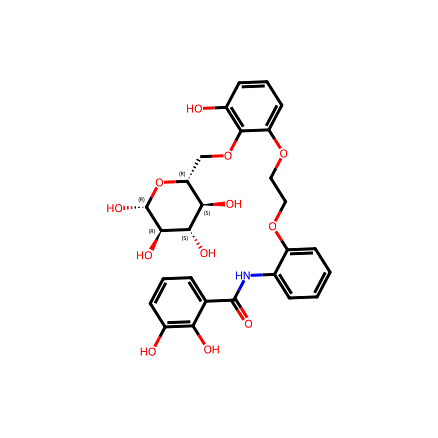 O=C(Nc1ccccc1OCCOc1cccc(O)c1OC[C@H]1O[C@@H](O)[C@H](O)[C@@H](O)[C@@H]1O)c1cccc(O)c1O